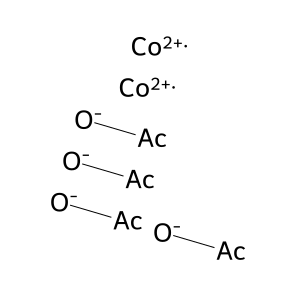 CC(=O)[O-].CC(=O)[O-].CC(=O)[O-].CC(=O)[O-].[Co+2].[Co+2]